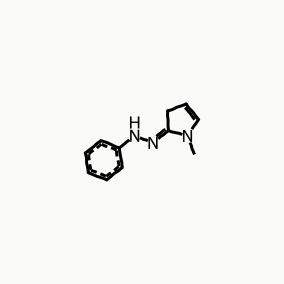 CN1C=CCC1=NNc1ccccc1